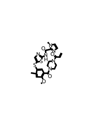 C=CC(=O)N1CCN(C(=O)c2cc(Sc3cnc(NC(=O)c4nccn4C)s3)c(C)cc2OC)CC1